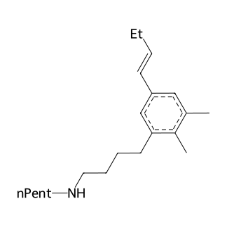 CC/C=C/c1cc(C)c(C)c(CCCCNCCCCC)c1